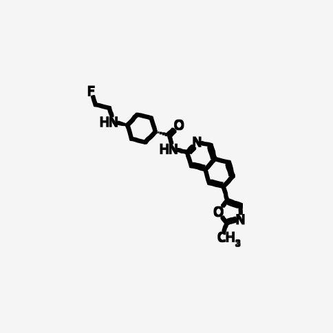 Cc1ncc(-c2ccc3cnc(NC(=O)[C@H]4CC[C@H](NCCF)CC4)cc3c2)o1